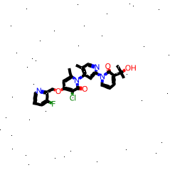 Cc1cnc(-n2cccc(C(C)(C)O)c2=O)cc1-n1c(C)cc(OCc2ncccc2F)c(Cl)c1=O